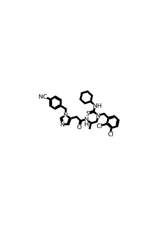 CC(CN(Cc1cccc(Cl)c1Cl)C(=S)NC1CCCCC1)NC(=O)Cc1cncn1Cc1ccc(C#N)cc1